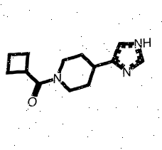 O=C(C1CCC1)N1CCC(c2c[nH]cn2)CC1